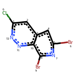 Clc1cc2cc(Br)nc(Br)c2nn1